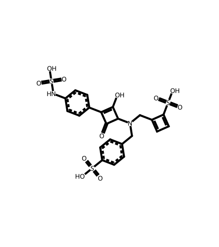 O=C1C(c2ccc(NS(=O)(=O)O)cc2)=C(O)C1N(CC1=CC=C1S(=O)(=O)O)Cc1ccc(S(=O)(=O)O)cc1